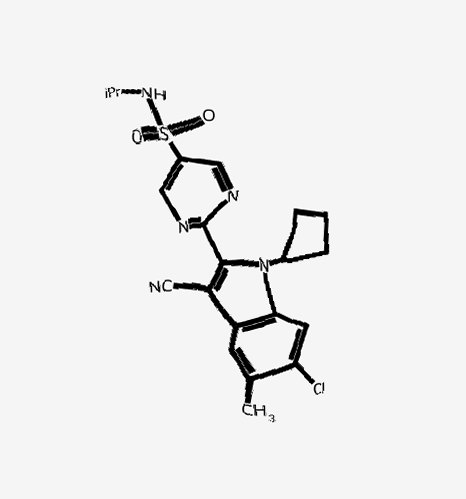 Cc1cc2c(C#N)c(-c3ncc(S(=O)(=O)NC(C)C)cn3)n(C3CCC3)c2cc1Cl